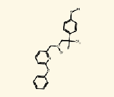 CCOc1ccc(C(F)(C[S+]([O-])Cc2cccc(Oc3ccccc3)n2)C(F)(F)F)cc1